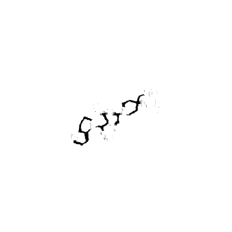 N=C(c1ncc(N2CCC(N)(C(N)=O)CC2)nc1N)N1CCCc2ncccc21